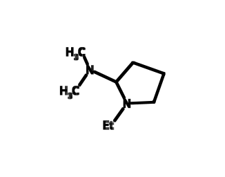 CCN1CCCC1N(C)C